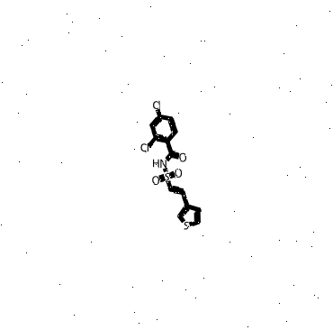 O=C(NS(=O)(=O)C=Cc1ccsc1)c1ccc(Cl)cc1Cl